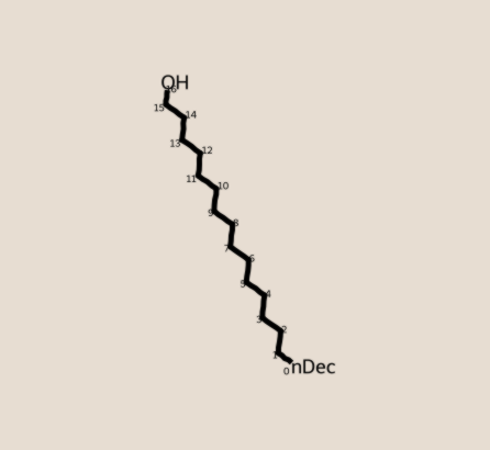 [CH2]CCCCCCCCCCCCCCCCCCCCCCCCO